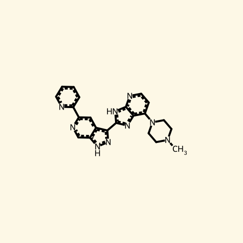 CN1CCN(c2ccnc3[nH]c(-c4n[nH]c5cnc(-c6ccccn6)cc45)nc23)CC1